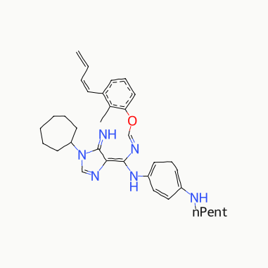 C=C/C=C\c1cccc(O/C=N/C(NC2=CCC=C(NCCCCC)C=C2)=C2/N=CN(C3CCCCCC3)C2=N)c1C